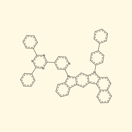 c1ccc(-c2ccc(-n3c4cc5c(cc4c4c6ccccc6ccc43)c3ccccc3n5-c3cc(-c4nc(-c5ccccc5)nc(-c5ccccc5)n4)ccn3)cc2)cc1